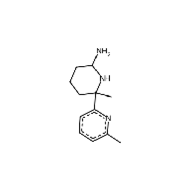 Cc1cccc(C2(C)CCCC(N)N2)n1